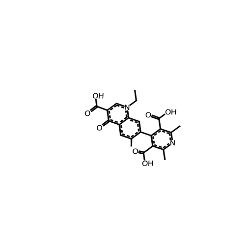 CCn1cc(C(=O)O)c(=O)c2cc(C)c(-c3c(C(=O)O)c(C)nc(C)c3C(=O)O)cc21